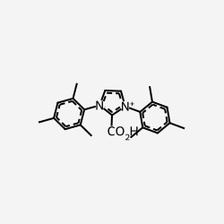 Cc1cc(C)c(-n2cc[n+](-c3c(C)cc(C)cc3C)c2C(=O)O)c(C)c1